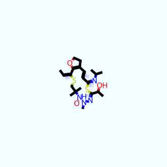 C/C=C(/SCC(C)(C)N=O)C1=C(/C=C/C(=N\C(C)C)S/C(=N\NC)C(C)O)CCO1